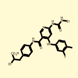 CCNC(=O)Nc1cc(Nc2ccc(C)c(F)c2)c(C(=O)Nc2ccc(CC(CC)C(=O)O)cc2)cn1